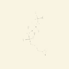 FC(F)(F)OC(F)(F)C(F)(F)OC(F)(F)COCC1CO1